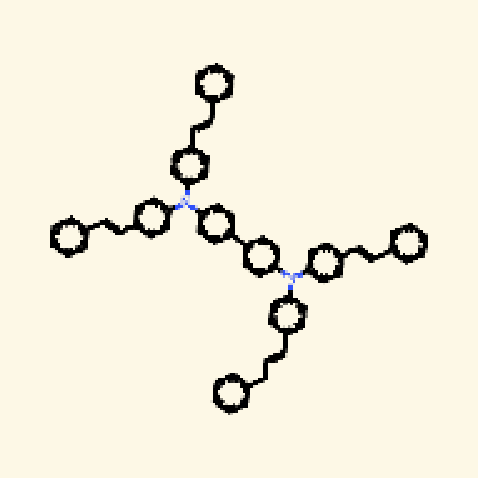 C(=Cc1ccc(N(c2ccc(C=Cc3ccccc3)cc2)c2ccc(-c3ccc(N(c4ccc(C=Cc5ccccc5)cc4)c4ccc(C=Cc5ccccc5)cc4)cc3)cc2)cc1)Cc1ccccc1